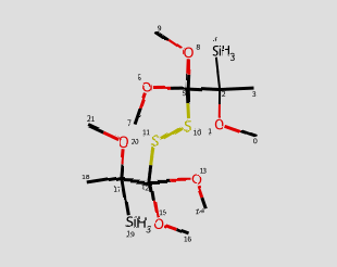 COC(C)([SiH3])C(OC)(OC)SSC(OC)(OC)C(C)([SiH3])OC